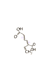 C=C/C(=C\C=C\C(=O)O)C(=O)O